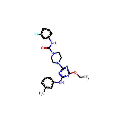 O=C(Nc1cccc(F)c1)N1CCN(c2nc(Nc3cccc(C(F)(F)F)c3)nc(OCC(F)(F)F)n2)CC1